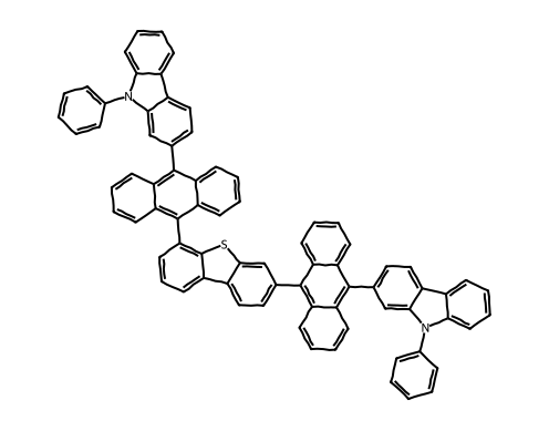 c1ccc(-n2c3ccccc3c3ccc(-c4c5ccccc5c(-c5ccc6c(c5)sc5c(-c7c8ccccc8c(-c8ccc9c%10ccccc%10n(-c%10ccccc%10)c9c8)c8ccccc78)cccc56)c5ccccc45)cc32)cc1